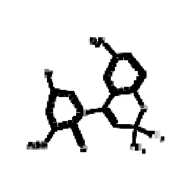 CC(=O)Nc1cc(Br)cn(C2=CC(C)(C)Oc3ccc([N+](=O)[O-])cc32)c1=O